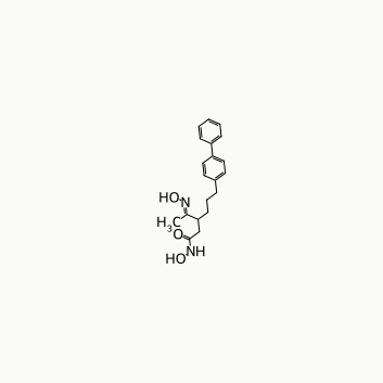 CC(=NO)C(CCCc1ccc(-c2ccccc2)cc1)CC(=O)NO